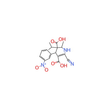 CC(C)C1(C(=O)O)C(C)NC(C#N)=C(C(=O)O)C1c1cccc([N+](=O)[O-])c1